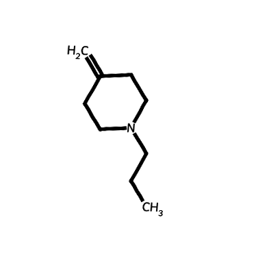 C=C1CCN(CCC)CC1